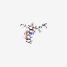 CCCCCc1cc(O)c(CC=C(C)CCC=C(C)C)c(O)c1C(=O)NC(Cc1ccccc1)C(=O)O